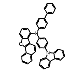 c1ccc(-c2ccc(N(c3ccc(-n4c5ccccc5c5ccccc54)cc3)c3cccc4oc5c6ccccc6ccc5c34)cc2)cc1